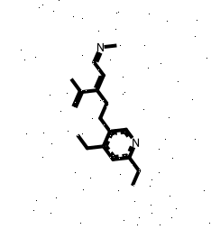 C=C(C)/C(=C\C=N/C)CCc1cnc(CC)cc1CC